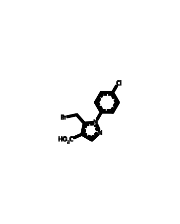 O=C(O)c1cnn(-c2ccc(Cl)cc2)c1CBr